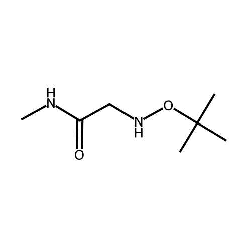 CNC(=O)CNOC(C)(C)C